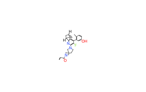 C=CC(=O)N1CC2(CCN(c3nc4c(c(-c5cc(O)ccc5C)c3F)C[C@H]3C[C@@H]4C3(C)C)C2)C1